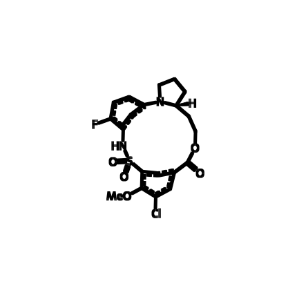 COc1c(Cl)cc2cc1S(=O)(=O)Nc1cc(ccc1F)N1CCC[C@@H]1CCOC2=O